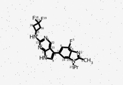 Cc1nc2c(F)cc(-c3c[nH]c4nc(NC5CC(F)(F)C5)ncc34)cc2n1C(C)C